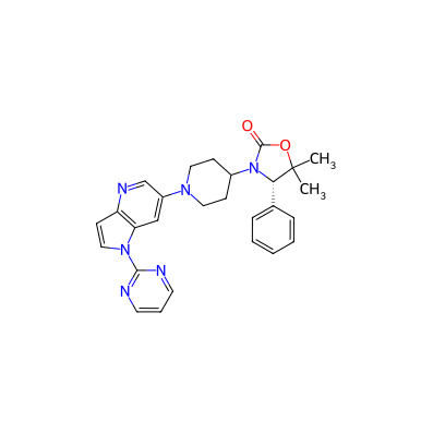 CC1(C)OC(=O)N(C2CCN(c3cnc4ccn(-c5ncccn5)c4c3)CC2)[C@H]1c1ccccc1